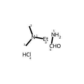 CCN(C)C.Cl.NC=O